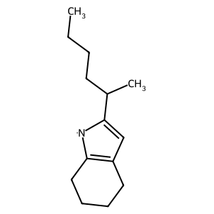 CCCCC(C)C1=CC2=C(CCCC2)[N]1